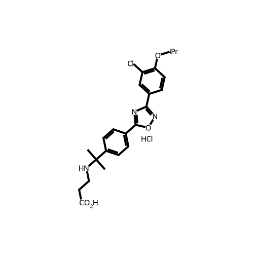 CC(C)Oc1ccc(-c2noc(-c3ccc(C(C)(C)NCCC(=O)O)cc3)n2)cc1Cl.Cl